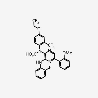 COc1ccccc1-c1cnc(N(C(=O)O)c2ccc(OCC(F)(F)F)cc2C(F)(F)F)c(Nc2ccccc2F)n1